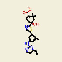 C=Cc1ccnc(Nc2cc(C)cc(-c3cnc([C@@]4(O)CC[C@H](C(=O)OC)C(C)(C)C4)s3)c2)n1